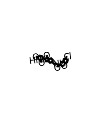 O=C1CCC(N2Cc3cc(CNC(=O)C4COc5ccc(Cl)cc5C4)ccc3C2=O)C(=O)N1